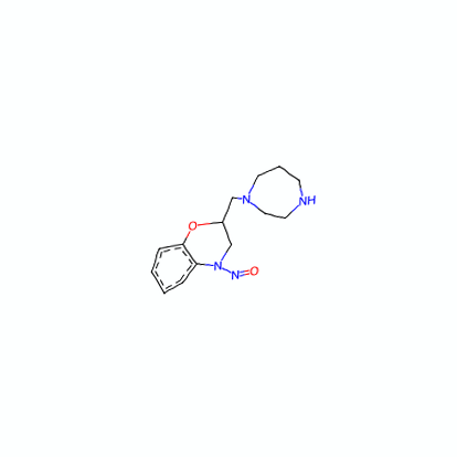 O=NN1CC(CN2CCCNCC2)Oc2ccccc21